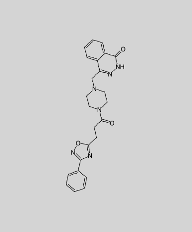 O=C(CCc1nc(-c2ccccc2)no1)N1CCN(Cc2n[nH]c(=O)c3ccccc23)CC1